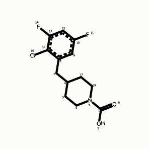 O=C(O)N1CCC(Cc2cc(F)cc(F)c2Cl)CC1